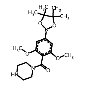 COc1cc(B2OC(C)(C)C(C)(C)O2)cc(OC)c1C(=O)N1CCNCC1